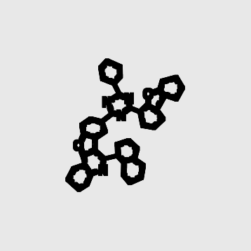 c1ccc(-c2nc(-c3ccc4oc5c6ccccc6nc(-c6cccc7ccccc67)c5c4c3)nc(-c3cccc4c3oc3ccccc34)n2)cc1